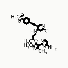 Cc1nn(C)c(O[C@@H](C)CCNc2cc(Cl)ncc2C#Cc2ccc(S(C)(=O)=O)cc2)c1-c1nccc(N)n1